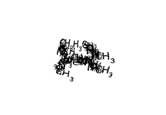 CCN(CCN(Cc1ccc(C)cn1)Cc1ccc(C)cn1)Cc1ccc(C)cn1.Cc1ccc(CN(C)CCN(Cc2ccc(C)cn2)Cc2ccc(C)cn2)nc1